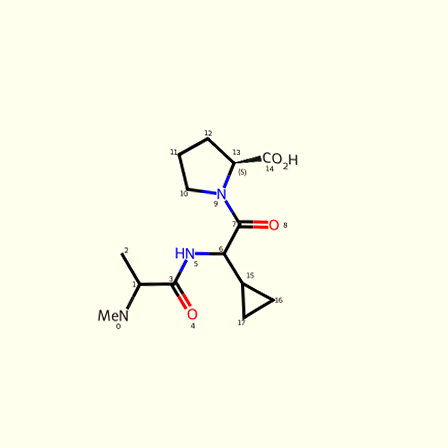 CNC(C)C(=O)NC(C(=O)N1CCC[C@H]1C(=O)O)C1CC1